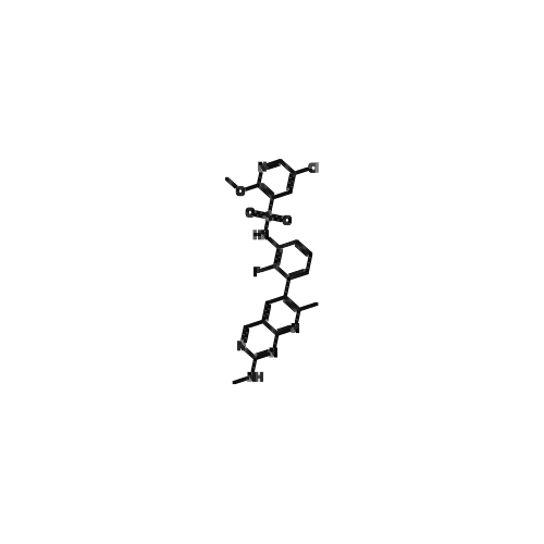 CNc1ncc2cc(-c3cccc(NS(=O)(=O)c4cc(Cl)cnc4OC)c3F)c(C)nc2n1